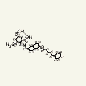 COc1ccc(CN(CCO)Cc2ccc3cc(OCCCCCc4ccccc4)ccc3c2)c(OC)c1